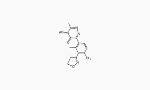 Cc1c(-c2nnc(C)n(O)c2=O)ccc(C(F)(F)F)c1C1=NOCC1